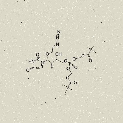 CC(C)(C)C(=O)OCOP(=O)(OCOC(=O)C(C)(C)C)OC[C@@H](O)[C@@H](F)[C@@H](OCCN=[N+]=[N-])n1ccc(=O)[nH]c1=O